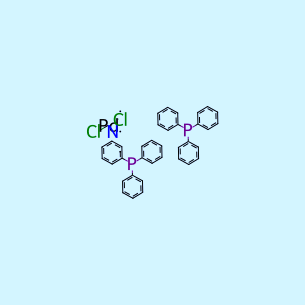 [Cl][Pd][Cl].[N].c1ccc(P(c2ccccc2)c2ccccc2)cc1.c1ccc(P(c2ccccc2)c2ccccc2)cc1